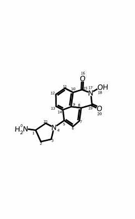 NC1CCN(c2ccc3c4c(cccc24)C(=O)N(O)C3=O)C1